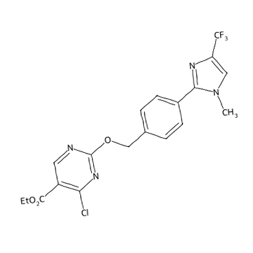 CCOC(=O)c1cnc(OCc2ccc(-c3nc(C(F)(F)F)cn3C)cc2)nc1Cl